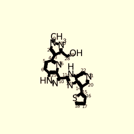 Cn1cc(-c2ccc3[nH]nc(-c4nc5c(-c6cccs6)cncc5[nH]4)c3n2)c(CO)n1